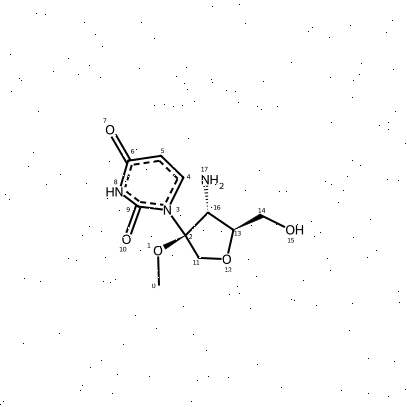 CO[C@]1(n2ccc(=O)[nH]c2=O)CO[C@H](CO)[C@H]1N